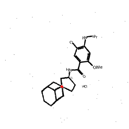 CCCNc1cc(OC)c(C(=O)N[C@H]2CCN(C3C4CCCC3CCC4)C2)cc1Cl.Cl